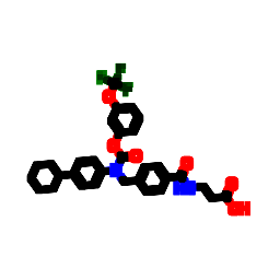 O=C(O)CCNC(=O)c1ccc(CN(C(=O)Oc2cccc(OC(F)(F)F)c2)c2ccc(C3CCCCC3)cc2)cc1